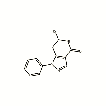 O=C1NC(S)Cc2c1cnn2-c1ccccc1